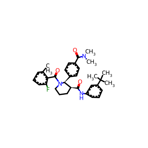 Cc1cccc(F)c1C(=O)N1CCC[C@H](C(=O)Nc2cccc(C(C)(C)C)c2)[C@@H]1c1ccc(C(=O)N(C)C)cc1